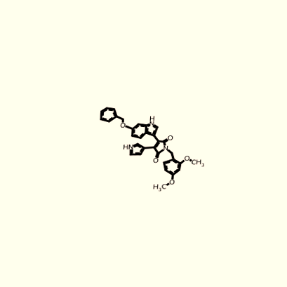 COc1ccc(CN2C(=O)C(c3cc[nH]c3)=C(c3c[nH]c4cc(OCc5ccccc5)ccc34)C2=O)c(OC)c1